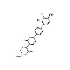 C=CC1CCC(c2ccc(-c3ccc(-c4ccc(O)c(F)c4F)cc3)cc2F)=C(C)C1